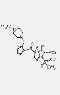 CC(C)[C@H]1C(=O)N(S(C)(=O)=O)C2=CCN(C(=O)c3ccoc3CN3CCN(C)CC3)[C@@H]21